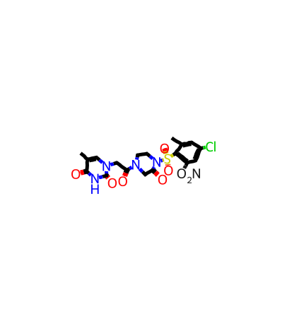 Cc1cc(Cl)cc([N+](=O)[O-])c1S(=O)(=O)N1CCN(C(=O)Cn2cc(C)c(=O)[nH]c2=O)CC1=O